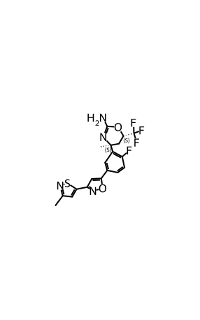 Cc1cc(-c2cc(-c3ccc(F)c([C@]4(C)C[C@@H](C(F)(F)F)OC(N)=N4)c3)on2)sn1